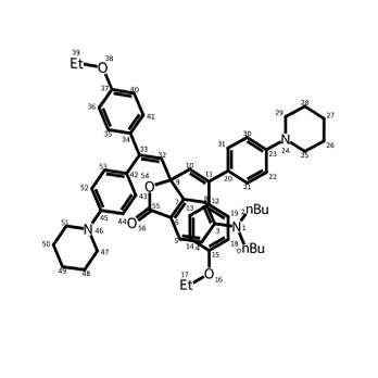 CCCCN(CCCC)c1ccc2c(c1)C(C=C(c1ccc(OCC)cc1)c1ccc(N3CCCCC3)cc1)(C=C(c1ccc(OCC)cc1)c1ccc(N3CCCCC3)cc1)OC2=O